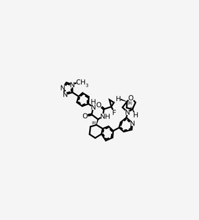 Cn1cnnc1-c1ccc(NC(=O)C(NC(=O)C2(F)CC2)[C@@H]2CCCc3ccc(-c4ccnc(N5C[C@H]6C[C@@H]5CO6)c4)cc32)cc1